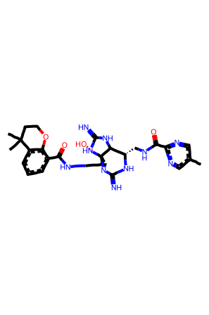 Cc1cnc(C(=O)NC[C@@H]2NC(=N)N3CC(NC(=O)c4cccc5c4OCCC5(C)C)[C@@H](O)C34NC(=N)NC24)nc1